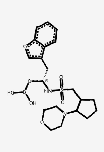 O=S(=O)(CC1CCCC1N1CCOCC1)N[C@@H](Cc1coc2ccccc12)OB(O)O